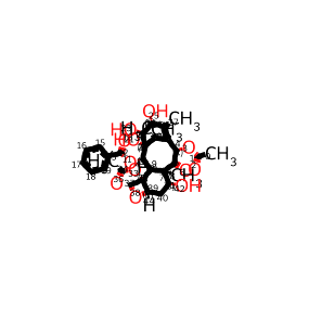 CC(=O)O[C@H]1C(=O)[C@@]2(C)[C@H]([C@H](OC(=O)c3ccccc3)[C@]3(O)[C@@H](O)[C@H](O)C(C)=C1C3(C)C)[C@]1(OC(C)=O)CO[C@@H]1C[C@@H]2O